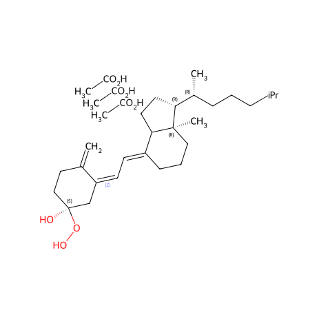 C=C1CC[C@](O)(OO)C/C1=C/C=C1CCC[C@@]2(C)C1CC[C@@H]2[C@H](C)CCCC(C)C.CC(=O)O.CC(=O)O.CC(=O)O